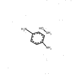 Nc1ccc(N)cc1.O[SiH3]